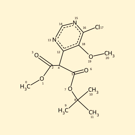 COC(=O)C(C(=O)OC(C)(C)C)c1ncnc(Cl)c1OC